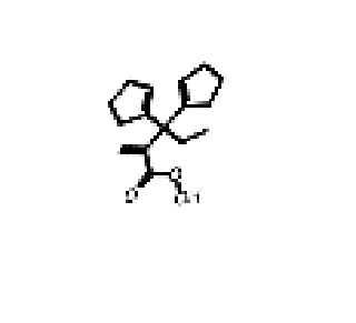 C=C(C(=O)OO)C(CC)(C1=CCCC1)C1=CCCC1